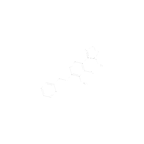 COc1c(OCc2ccccc2)ccc(-c2nccn2C#N)c1N